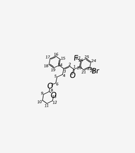 O=C(/C=C(\CCCOC1CCCCO1)c1ccccc1)c1cc(Br)ccc1F